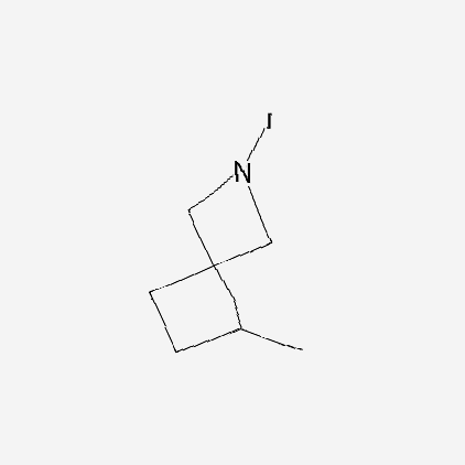 CC1CCC12CN(I)C2